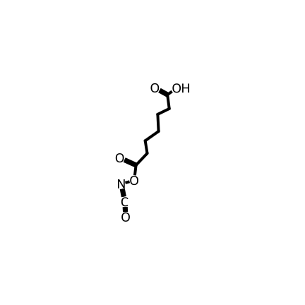 O=C=NOC(=O)CCCCCC(=O)O